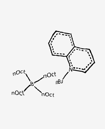 CCCCCCCC[B-](CCCCCCCC)(CCCCCCCC)CCCCCCCC.CCCC[n+]1cccc2ccccc21